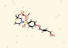 COC(=O)[C@@H]1N(S(=O)(=O)c2ccc(OCC#CCO)cc2)CCSC1(C)C